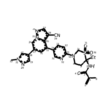 C=C(C)C(=O)NC1(CC)CCN(c2ccc(-c3cc(-c4cnn(C)c4)cn4ncc(C#N)c34)cn2)CS1(=O)=O